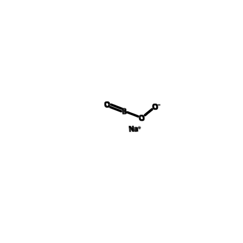 O=BO[O-].[Na+]